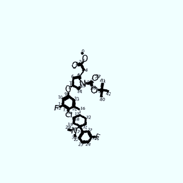 COC(=O)C[C@@H]1C[C@H](Oc2cc(F)c(Cl)c(C[C@H]3CC[C@](c4cccc(F)c4)(N(C)C)CC3)c2)CN1C(=O)OC(C)(C)C